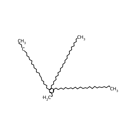 [CH2]Cc1cc(CCCCCCCCCCCCCCCCCCCCCCCC)c(CCCCCCCCCCCCCCCCCCCCCCCC)c(CCCCCCCCCCCCCCCCCCCCCCCC)c1